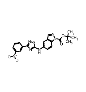 CC(C)(C)OC(=O)n1ncc2cc(Nc3nc(-c4cccc([N+](=O)[O-])c4)ns3)ccc21